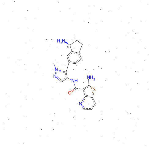 Cn1ncc(NC(=O)c2c(N)sc3cccnc23)c1-c1ccc2c(c1)[C@@H](N)CC2